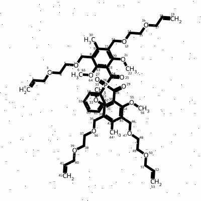 C=CCOCCOCc1c(C)c(COCCOCC=C)c(OC)c(C(=O)P(=O)(C(=O)c2c(OC)c(COCCOCC=C)c(C)c(COCCOCC=C)c2OC)c2ccccc2)c1OC